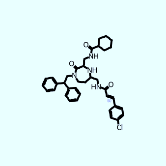 O=C(/C=C/c1ccc(Cl)cc1)NCC1CCN(CC(c2ccccc2)c2ccccc2)C(=O)C(CNC(=O)C2CCCCC2)N1